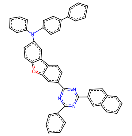 c1ccc(-c2ccc(N(c3ccccc3)c3ccc4oc5cc(-c6nc(-c7ccccc7)nc(-c7ccc8ccccc8c7)n6)ccc5c4c3)cc2)cc1